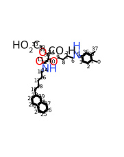 Cc1ccc(NCCCCOC(C(=O)NCCCCCc2ccc3ccccc3c2)C(OCC(=O)O)C(=O)O)cc1C